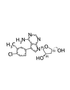 Cc1cc(-c2cn([C@@H]3O[C@H](CO)C[C@H]3O)c3ncnc(N)c23)ccc1Cl